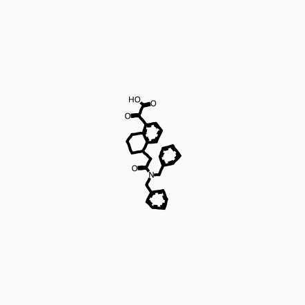 O=C(O)C(=O)c1cccc2c1CCCC2CC(=O)N(Cc1ccccc1)Cc1ccccc1